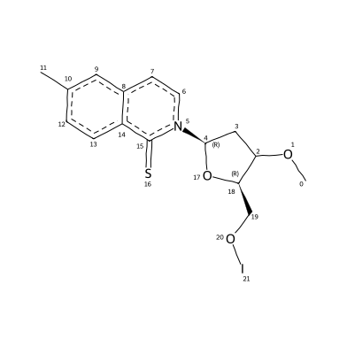 COC1C[C@H](n2ccc3cc(C)ccc3c2=S)O[C@@H]1COI